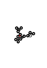 c1ccc(-c2cccc3c2oc2ccc(-c4ccc(N(c5ccc(-c6ccc7c8ccccc8n(-c8ccccc8)c7c6)cc5)c5cccc6c5-c5ccccc5C6(c5ccccc5)c5ccccc5)cc4)cc23)cc1